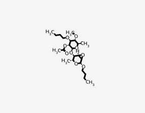 CCCCO[C@H]1O[C@H](C)[C@@H](O[C@@H]2O[C@H](C)[C@@H](OC)[C@H](OCCCC)[C@H]2OC(C)=O)[C@H]2OC12